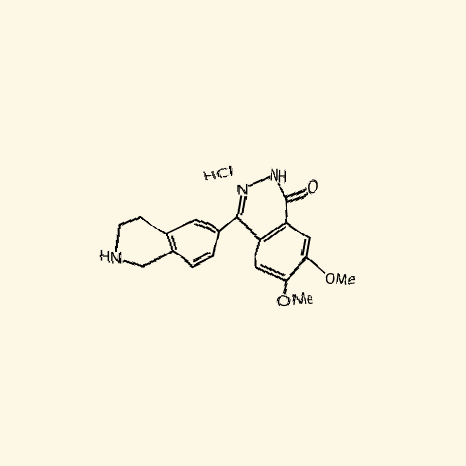 COc1cc2c(-c3ccc4c(c3)CCNC4)n[nH]c(=O)c2cc1OC.Cl